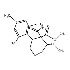 COC(=O)C1(C(C)=O)C(OC)CCCC1c1c(C)cc(C)cc1C